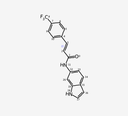 O=C(/C=C/c1ccc(C(F)(F)F)cc1)Nc1ccc2cc[nH]c2c1